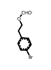 O=[C]OCCc1ccc(Br)cc1